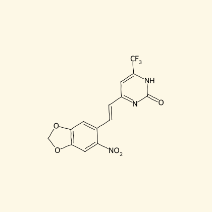 O=c1nc(/C=C/c2cc3c(cc2[N+](=O)[O-])OCO3)cc(C(F)(F)F)[nH]1